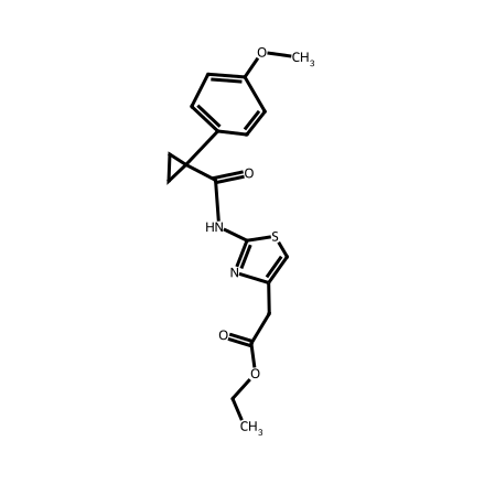 CCOC(=O)Cc1csc(NC(=O)C2(c3ccc(OC)cc3)CC2)n1